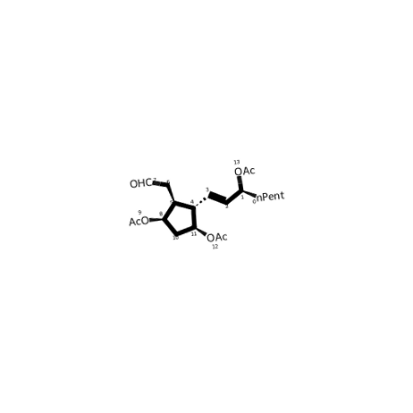 CCCCC[C@@H](/C=C/[C@H]1[C@H](CC=O)[C@H](OC(C)=O)C[C@@H]1OC(C)=O)OC(C)=O